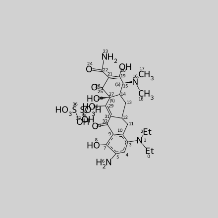 CCN(CC)c1cc(N)c(O)c2c1CC1CC3[C@H](N(C)C)C(O)=C(C(N)=O)C(=O)[C@@]3(O)C(O)=C1C2=O.O=S(=O)(O)O.O=S(=O)(O)O